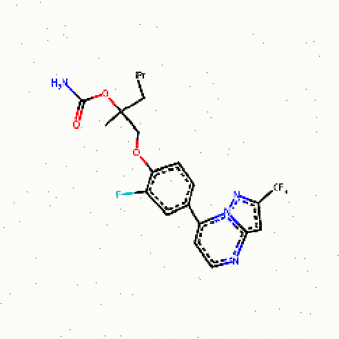 CC(C)CC(C)(COc1ccc(-c2ccnc3cc(C(F)(F)F)nn23)cc1F)OC(N)=O